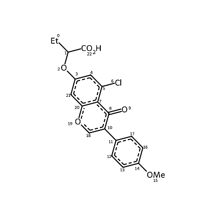 CCC(Oc1cc(Cl)c2c(=O)c(-c3ccc(OC)cc3)coc2c1)C(=O)O